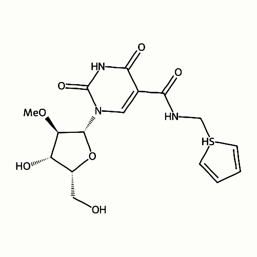 CO[C@@H]1[C@@H](O)[C@@H](CO)O[C@H]1n1cc(C(=O)NC[SH]2C=CC=C2)c(=O)[nH]c1=O